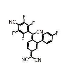 N#CC(C#N)=c1cc/c(=C(/C#N)c2c(F)c(F)c(C#N)c(F)c2F)c(-c2ccc(F)cc2)c1